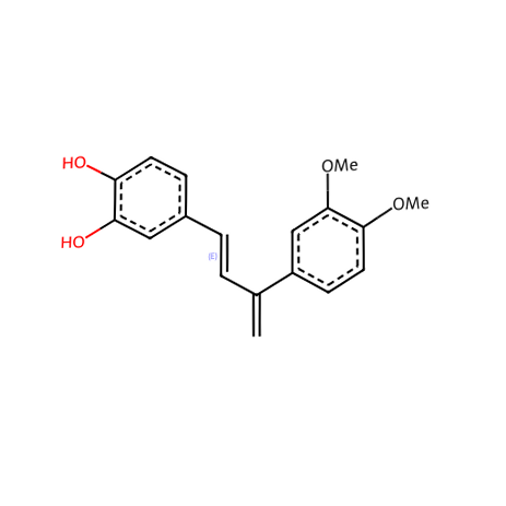 C=C(/C=C/c1ccc(O)c(O)c1)c1ccc(OC)c(OC)c1